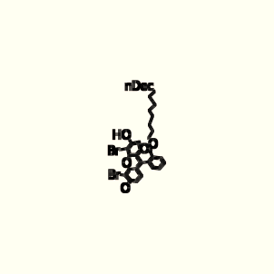 CCCCCCCCCCCCCCCCCCOC(=O)c1ccccc1-c1c2ccc(=O)c(Br)c-2oc2c(Br)c(O)ccc12